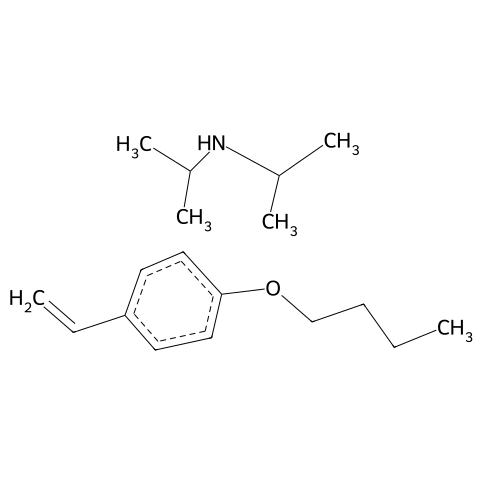 C=Cc1ccc(OCCCC)cc1.CC(C)NC(C)C